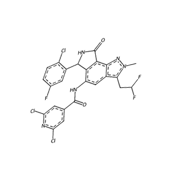 Cn1nc2c3c(c(NC(=O)c4cc(Cl)nc(Cl)c4)cc2c1CC(F)F)C(c1cc(F)ccc1Cl)NC3=O